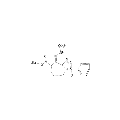 CC(C)(C)OC(=O)C1CCCN(S(=O)(=O)c2ccccn2)C(N)C1=NNC(=O)O